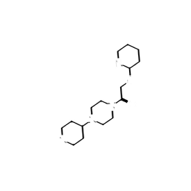 O=C(COC1CCCC[N]1)N1CCN(C2CCNCC2)CC1